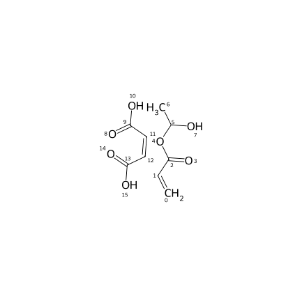 C=CC(=O)OC(C)O.O=C(O)/C=C\C(=O)O